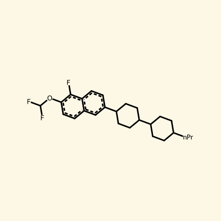 CCCC1CCC(C2CCC(c3ccc4c(F)c(OC(F)F)ccc4c3)CC2)CC1